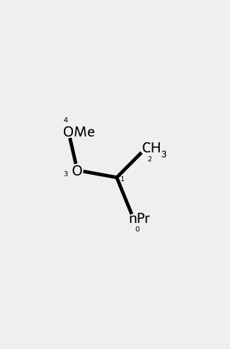 CCCC(C)OOC